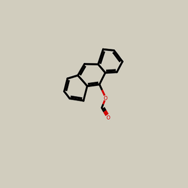 O=COc1c2ccccc2cc2ccccc12